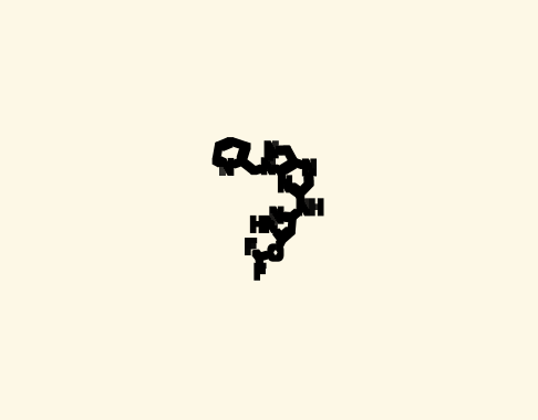 FC(F)Oc1cc(Nc2cnc3cnn(Cc4ccccn4)c3n2)n[nH]1